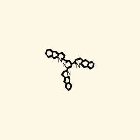 c1ccc2cc3nc(-c4cc(-c5ccc6cc7ccccc7cc6n5)nc(-c5ccc6cc7ccccc7cc6n5)c4)ccc3cc2c1